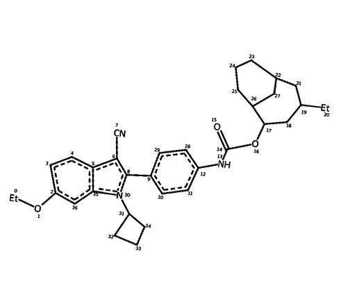 CCOc1ccc2c(C#N)c(-c3ccc(NC(=O)OC4CC(CC)CC5CCCC4C5)cc3)n(C3CCC3)c2c1